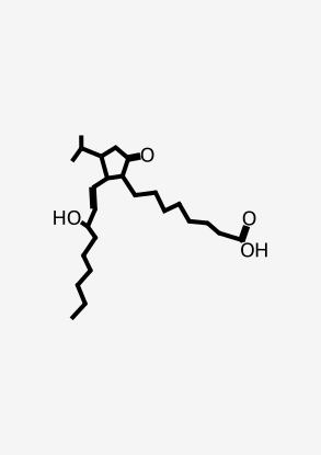 CCCCCCC(O)C=CC1C(CCCCCCCC(=O)O)C(=O)CC1C(C)C